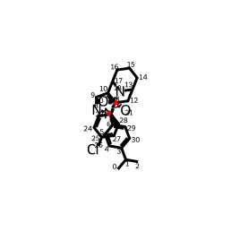 CC(C)c1ccc(-n2ncc3c2CC2CCCC3N2S(=O)(=O)c2ccc(Cl)cc2)cc1